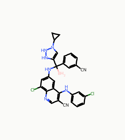 BC(Nc1cc(Cl)c2ncc(C#N)c(Nc3cccc(Cl)c3)c2c1)(C1=CN(C2CC2)NN1)c1cccc(C#N)c1